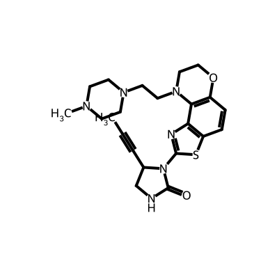 CC#CC1CNC(=O)N1c1nc2c3c(ccc2s1)OCCN3CCN1CCN(C)CC1